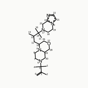 C=C(C)C(C)(C)N1CCN2C(CC(C)C(C)(C)N3CCn4ccnc4C3)COCC2C1